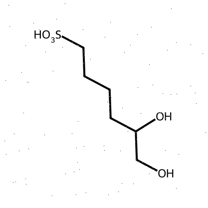 O=S(=O)(O)CCCCC(O)CO